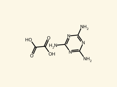 Nc1nc(N)nc(N)n1.O=C(O)C(=O)O